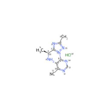 Cc1nc([C@H](C)N)n(-c2cc(C#N)ncn2)n1.Cl